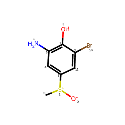 C[S+]([O-])c1cc(N)c(O)c(Br)c1